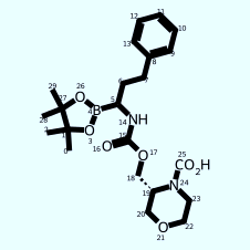 CC1(C)OB(C(CCc2ccccc2)NC(=O)OC[C@H]2COCCN2C(=O)O)OC1(C)C